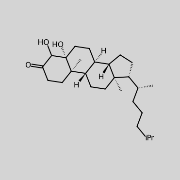 CC(C)CCC[C@@H](C)[C@H]1CC[C@H]2[C@@H]3CC[C@]4(O)C(O)C(=O)CC[C@]4(C)[C@H]3CC[C@]12C